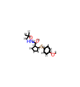 COc1ccc(SC2CCCC2C(=O)NOC(C)(C)C)cc1